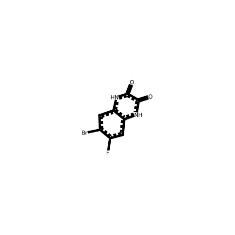 O=c1[nH]c2cc(F)c(Br)cc2[nH]c1=O